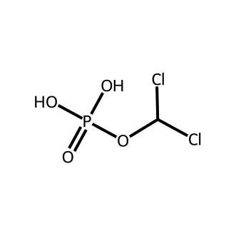 O=P(O)(O)OC(Cl)Cl